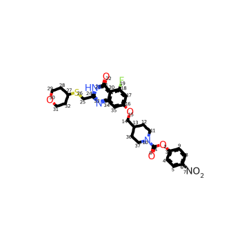 O=C(Oc1ccc([N+](=O)[O-])cc1)N1CCC(COc2cc(F)c3c(=O)[nH]c(CSC4CCOCC4)nc3c2)CC1